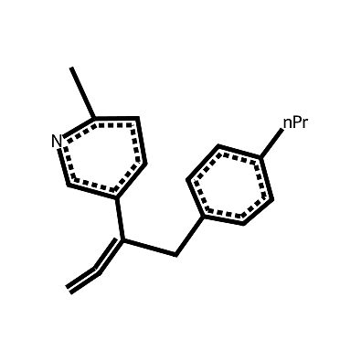 C=C=C(Cc1ccc(CCC)cc1)c1ccc(C)nc1